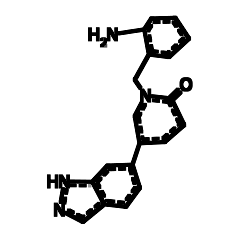 Nc1ccccc1Cn1cc(-c2ccc3cn[nH]c3c2)ccc1=O